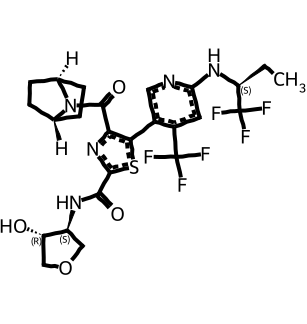 CC[C@H](Nc1cc(C(F)(F)F)c(-c2sc(C(=O)N[C@H]3COC[C@@H]3O)nc2C(=O)N2[C@H]3CC[C@H]2CC3)cn1)C(F)(F)F